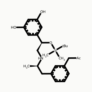 CC(=O)Cc1cccc(C[C@@H](C)NC[C@H](O[Si](C)(C)C(C)(C)C)c2cc(O)cc(O)c2)c1